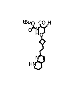 CC(COC1CC(CCc2ccc3c(n2)NCCC3)C1)C(NC(=O)OC(C)(C)C)C(=O)O